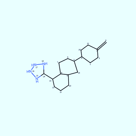 C=C1CCC(C2CCC3C(CCCC3C3NNNN3)C2)CC1